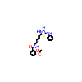 CC(=O)Oc1ccccc1C(=O)NCCCCCC1NNC(Nc2ccccc2)S1